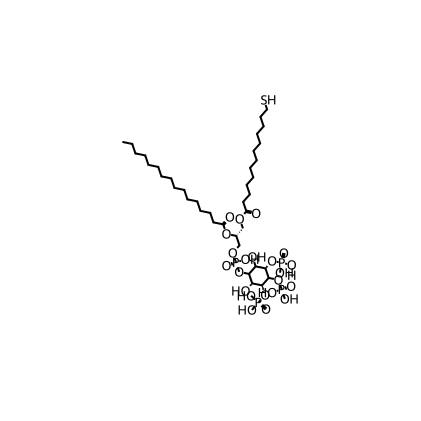 CCCCCCCCCCCCCCCC(=O)O[C@H](COC(=O)CCCCCCCCCCCCS)COP(=O)(O)OC1C(O)[C@@H](OP(=O)(O)O)C(OP(=O)(O)O)[C@@H](OP(=O)(O)O)[C@H]1O